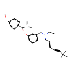 CCN(CC=CC#CC(C)(C)C)Cc1cccc(OC(c2ccc(OC)cc2)[SiH](C)C)c1